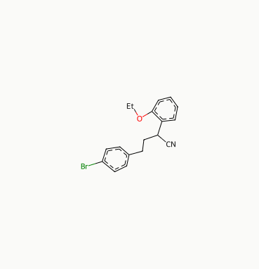 CCOc1ccccc1C(C#N)CCc1ccc(Br)cc1